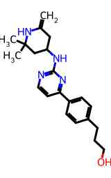 C=C1CC(Nc2nccc(-c3ccc(CCCO)cc3)n2)CC(C)(C)N1